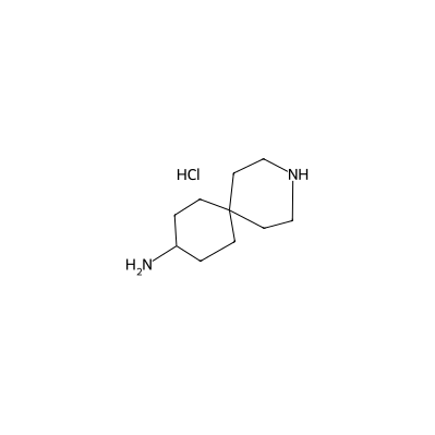 Cl.NC1CCC2(CCNCC2)CC1